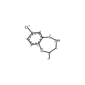 CC1CNSc2cc(Cl)ccc2O1